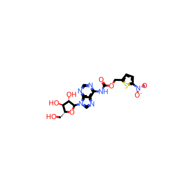 O=C(Nc1ncnc2c1ncn2C1O[C@H](CO)[C@@H](O)[C@@H]1O)OCc1ccc([N+](=O)[O-])s1